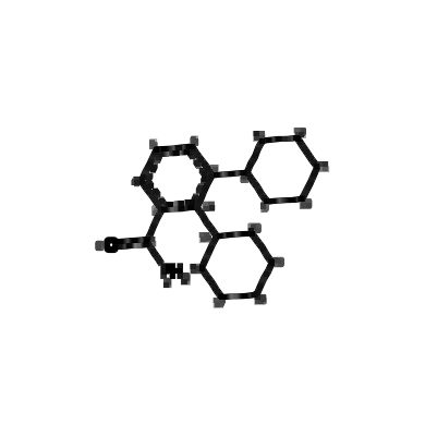 O=C(P)c1cccc(C2CCCCC2)c1C1CCCCC1